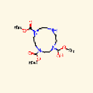 CC(C)(C)OC(=O)N1CCNCCN(C(O)OC(C)(C)C)CCN(C(=O)OC(C)(C)C)CC1